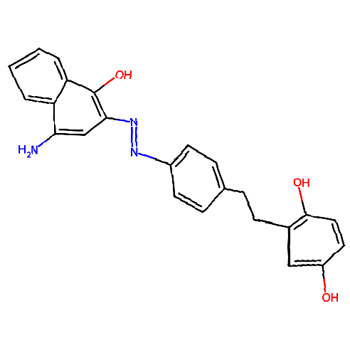 Nc1cc(N=Nc2ccc(CCc3cc(O)ccc3O)cc2)c(O)c2ccccc12